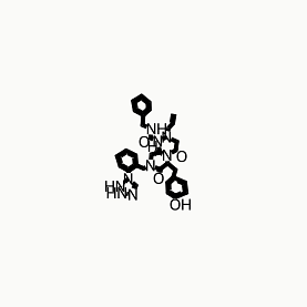 C=CCN1CC(=O)N2C(Cc3ccc(O)cc3)C(=O)N(Cc3ccccc3N3C=NNN3)C[C@@H]2N1C(=O)NCc1ccccc1